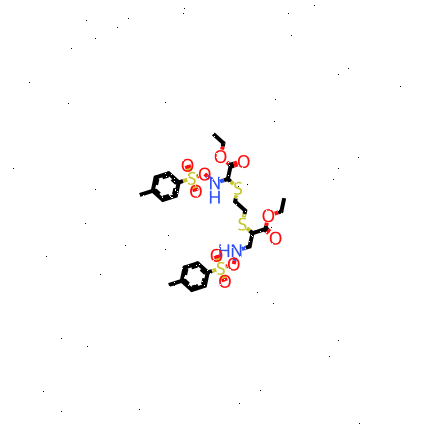 CCOC(=O)C(CNOS(=O)(=O)c1ccc(C)cc1)SCCSC(NOS(=O)(=O)c1ccc(C)cc1)C(=O)OCC